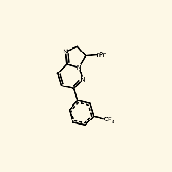 CCCC1CN=C2C=CC(c3cccc(C(F)(F)F)c3)=NN21